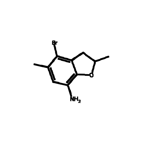 Cc1cc(N)c2c(c1Br)CC(C)O2